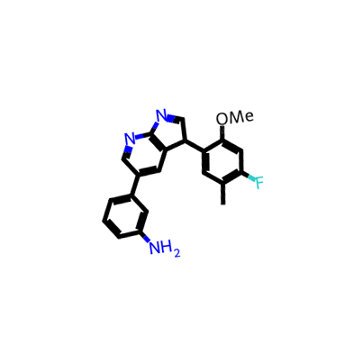 COc1cc(F)c(C)cc1C1C=Nc2ncc(-c3cccc(N)c3)cc21